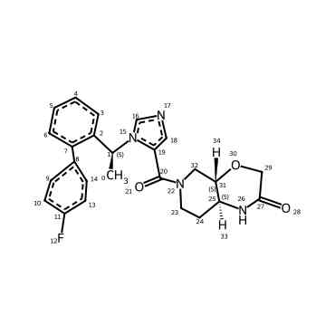 C[C@@H](c1ccccc1-c1ccc(F)cc1)n1cncc1C(=O)N1CC[C@@H]2NC(=O)CO[C@H]2C1